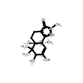 Cn1[nH]c2c(c1=O)CC[C@H]1C(C)(C)C(O)C(C#N)=C[C@]21C